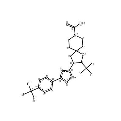 CC(C)(C)C1OC2(CCN(C(=O)O)CC2)CC1c1noc(-c2ccc(C(F)(F)F)cc2)n1